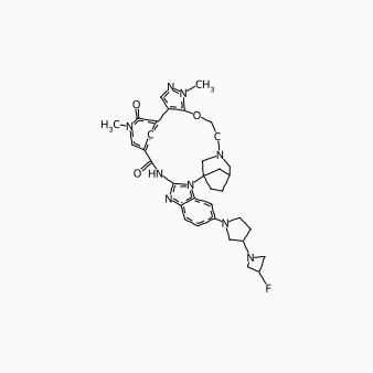 Cn1ncc2c1OCCN1CC3CCC(C3)(C1)n1c(nc3ccc(N4CCC(N5CC(F)C5)C4)cc31)NC(=O)c1cc-2c(=O)n(C)c1